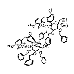 CCOc1ccc(Cc2cc([C@]3(OC)OC(CO)(CO)[C@@H](OCc4ccccc4)[C@H](OCc4ccccc4)[C@H]3OCc3ccccc3)ccc2Cl)c(F)c1F.CCOc1ccc(Cc2cc([C@]3(OC)O[C@@](C=O)(CO)[C@@H](OCc4ccccc4)[C@H](OCc4ccccc4)[C@H]3OCc3ccccc3)ccc2Cl)c(F)c1F